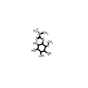 COC1C(O)C(O)C(O)C(O)C1OC(=O)N(C)C